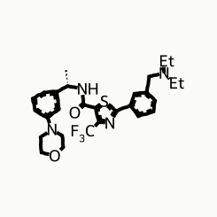 CCN(CC)Cc1cccc(-c2nc(C(F)(F)F)c(C(=O)N[C@@H](C)c3cccc(N4CCOCC4)c3)s2)c1